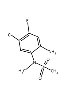 CN(c1cc(Cl)c(F)cc1N)S(C)(=O)=O